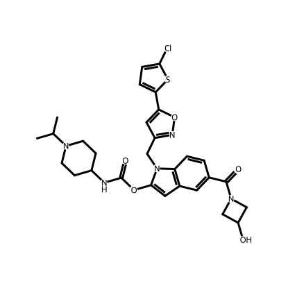 CC(C)N1CCC(NC(=O)Oc2cc3cc(C(=O)N4CC(O)C4)ccc3n2Cc2cc(-c3ccc(Cl)s3)on2)CC1